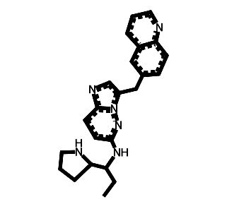 CCC(Nc1ccc2ncc(Cc3ccc4ncccc4c3)n2n1)C1CCCN1